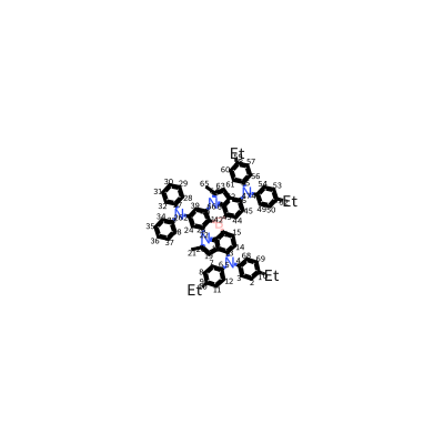 CCc1ccc(N(c2ccc(CC)cc2)c2ccc3c4c2cc(C)n4-c2cc(N(c4ccccc4)c4ccccc4)cc4c2B3c2ccc(N(c3ccc(CC)cc3)c3ccc(CC)cc3)c3cc(C)n-4c23)cc1